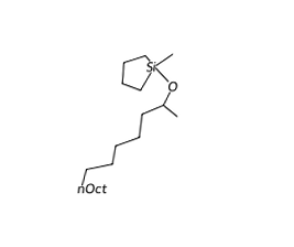 CCCCCCCCCCCCCC(C)O[Si]1(C)CCCC1